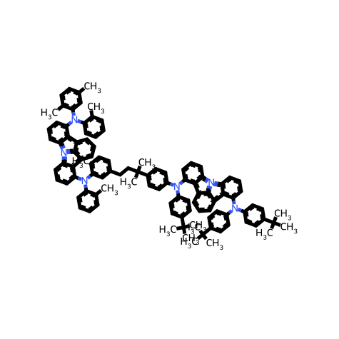 Cc1ccc(C)c(N(c2ccccc2C)c2cccc3c2c2cccc4c5c(N(c6ccccc6C)c6cc(CCC(C)(C)c7ccc(N(c8ccc(C(C)(C)C)cc8)c8cccc9c8c8cccc%10c%11c(N(c%12ccc(C(C)(C)C)cc%12)c%12ccc(C(C)(C)C)cc%12)cccc%11n9c%108)cc7)ccc6C)cccc5n3c24)c1